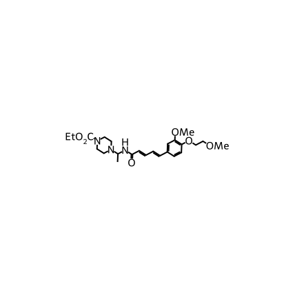 CCOC(=O)N1CCN(C(C)NC(=O)C=CC=Cc2ccc(OCCOC)c(OC)c2)CC1